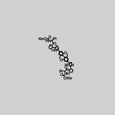 COC(=O)NC(C(=O)N1CCCC1c1ncc(-c2cc3c4c(c2)OCc2cc(-c5cnc(C6CCCN6C(=O)C(NC(=O)OC)C(C)C)[nH]5)cc(c2-4)OC3)[nH]1)C(C)C